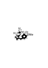 CCOC(=O)C(C)(C)Sc1nnnn1Cc1ccc(OC)cc1